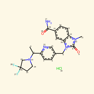 CC(c1ccc(Cn2c(=O)n(C)c3ccc(C(N)=O)cc32)cn1)N1CCC(F)(F)C1.Cl